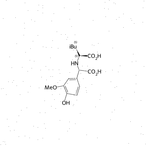 CC[C@H](C)[C@H](NC(C(=O)O)c1ccc(O)c(OC)c1)C(=O)O